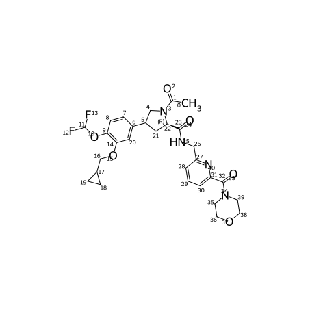 CC(=O)N1CC(c2ccc(OC(F)F)c(OCC3CC3)c2)C[C@@H]1C(=O)NCc1cccc(C(=O)N2CCOCC2)n1